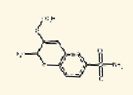 NS(=O)(=O)c1ccc2c(c1)C=C(OC(=O)O)C(C(F)(F)F)O2